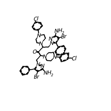 Nc1nn(CC(C(=O)C(Cn2nc(N)c(Br)c2-c2ccccc2)N2CCN(c3ccc(Cl)cc3)CC2)N2CCN(c3ccc(Cl)cc3)CC2)c(-c2ccccc2)c1Br